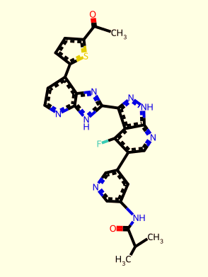 CC(=O)c1ccc(-c2ccnc3[nH]c(-c4n[nH]c5ncc(-c6cncc(NC(=O)C(C)C)c6)c(F)c45)nc23)s1